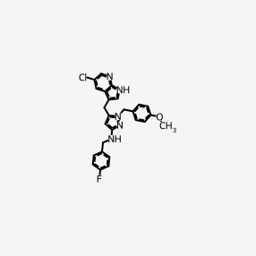 COc1ccc(Cn2nc(NCc3ccc(F)cc3)cc2Cc2c[nH]c3ncc(Cl)cc23)cc1